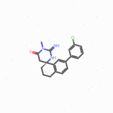 CN1C(=N)N[C@@]2(CCCc3ccc(-c4cccc(Cl)c4)cc32)CC1=O